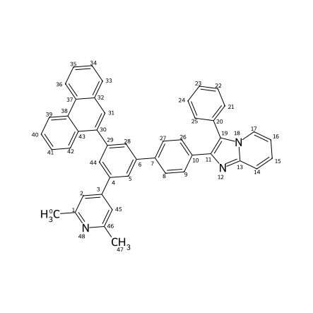 Cc1cc(-c2cc(-c3ccc(-c4nc5ccccn5c4-c4ccccc4)cc3)cc(-c3cc4ccccc4c4ccccc34)c2)cc(C)n1